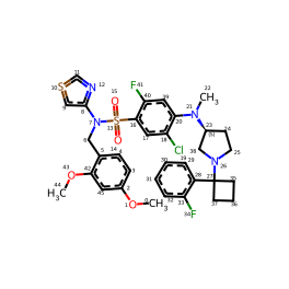 COc1ccc(CN(c2cscn2)S(=O)(=O)c2cc(Cl)c(N(C)[C@H]3CCN(C4(c5ccccc5F)CCC4)C3)cc2F)c(OC)c1